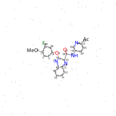 COc1ccc(Oc2nc3ccccc3nc2C(=O)Nc2ccc(C(C)=O)nc2)cc1F